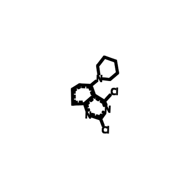 Clc1nc(Cl)c2c(N3CCCCC3)cccc2n1